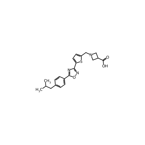 CC(C)Cc1ccc(-c2nc(-c3ccc(CN4CC(C(=O)O)C4)s3)no2)cc1